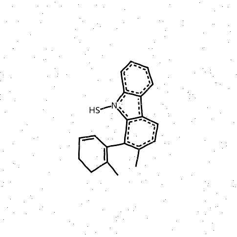 CC1=C(c2c(C)ccc3c4ccccc4n(S)c23)C=CCC1